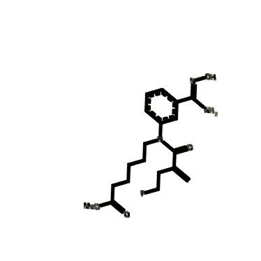 C=C(CCF)C(=O)N(CCCCCC(=O)OC)c1cccc(/C(N)=N/O)c1